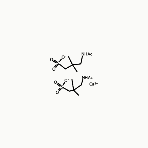 CC(=O)NCC(C)(C)CS(=O)(=O)[O-].CC(=O)NCC(C)(C)CS(=O)(=O)[O-].[Ca+2]